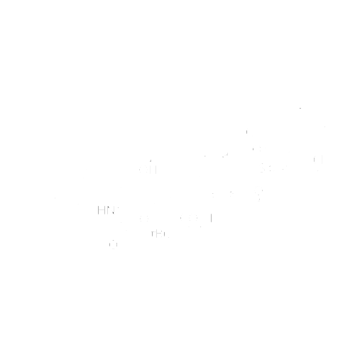 CC(C)(C)OC(=O)NC(Cc1ccccc1)C(O)CC(Cc1ccc(S(=O)(=O)Cc2c(Cl)cccc2Cl)cc1)C(=O)O